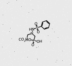 O=C(O)CN(CP(=O)(O)O)NS(=O)(=O)c1ccccc1